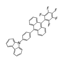 Fc1c(F)c(F)c(-c2c3ccccc3c(-c3ccc(-n4c5ccccc5c5ccccc54)cc3)c3ccccc23)c(F)c1F